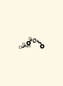 O=C(CCl)Nc1ccc(C(=O)N2CCN(C/C=C/c3ccccc3)CC2)cc1